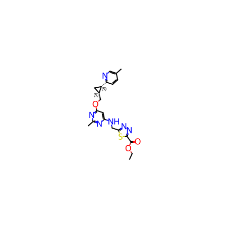 CCOC(=O)c1nnc(CNc2cc(OC[C@H]3C[C@@H]3c3ccc(C)cn3)nc(C)n2)s1